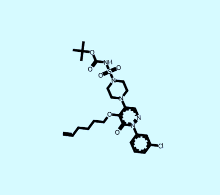 C=CCCCCOc1c(N2CCN(S(=O)(=O)NC(=O)OC(C)(C)C)CC2)cnn(-c2cccc(Cl)c2)c1=O